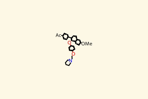 COc1ccc2c(Oc3ccc(OCCN4CCCCC4)cc3)c(-c3ccc(C(C)=O)cc3)ccc2c1